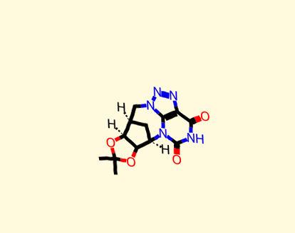 CC1(C)OC2[C@@H](O1)[C@@H]1C[C@H]2n2c(=O)[nH]c(=O)c3nnn(c32)C1